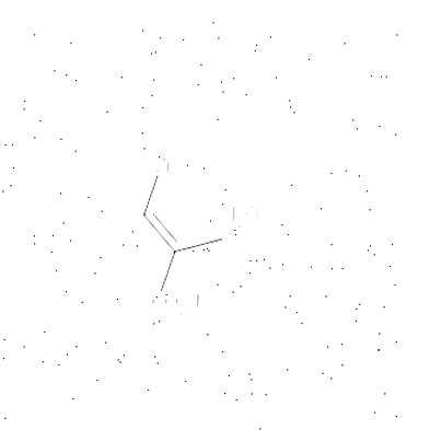 CC(=[CH][Zn])C(=O)O.O